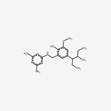 CCC(C)C(CC)c1cc(CNc2nc(N)nc(N)n2)c(O)c(OC)c1